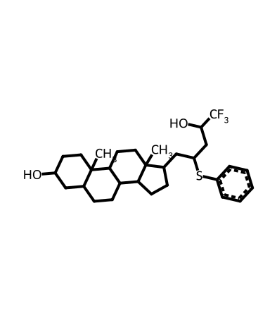 CC12CCC(O)CC1CCC1C2CCC2(C)C(CC(CC(O)C(F)(F)F)Sc3ccccc3)CCC12